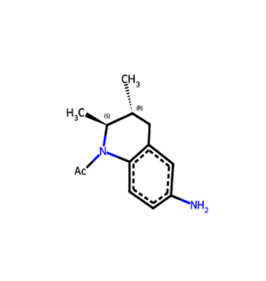 CC(=O)N1c2ccc(N)cc2C[C@@H](C)[C@@H]1C